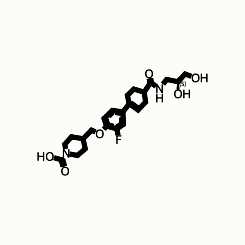 O=C(NC[C@H](O)CO)C1CC=C(c2ccc(OCC3CCN(C(=O)O)CC3)c(F)c2)CC1